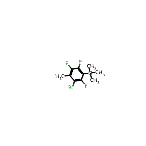 Cc1c(F)c(F)c([Si](C)(C)C)c(F)c1Br